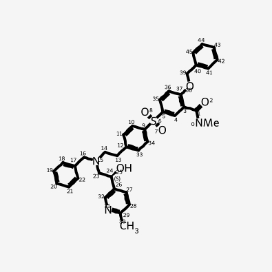 CNC(=O)c1cc(S(=O)(=O)c2ccc(CCN(Cc3ccccc3)C[C@@H](O)c3ccc(C)nc3)cc2)ccc1OCc1ccccc1